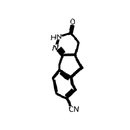 N#Cc1ccc2c(c1)CC1CC(=O)NN=C21